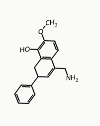 COc1ccc2c(c1O)CC(c1ccccc1)C=C2CN